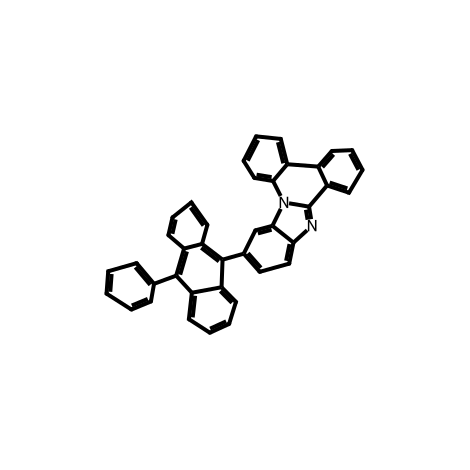 c1ccc(-c2c3ccccc3c(-c3ccc4nc5c6ccccc6c6ccccc6n5c4c3)c3ccccc23)cc1